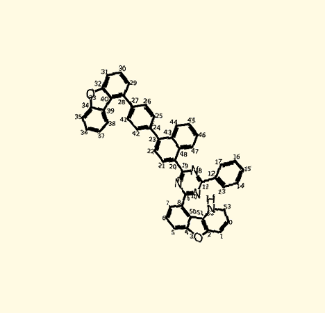 C1=Cc2oc3cccc(-c4nc(-c5ccccc5)nc(-c5ccc(-c6ccc(-c7cccc8oc9ccccc9c78)cc6)c6ccccc56)n4)c3c2NC1